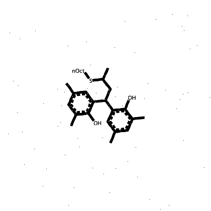 CCCCCCCCSC(C)CC(c1cc(C)cc(C)c1O)c1cc(C)cc(C)c1O